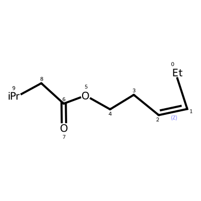 CC/C=C\CCOC(=O)CC(C)C